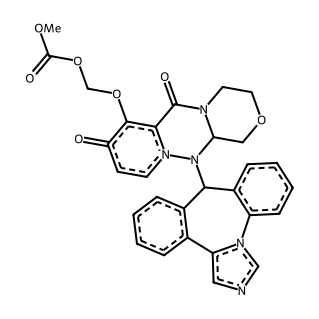 COC(=O)OCOc1c2n(ccc1=O)N(C1c3ccccc3-c3cncn3-c3ccccc31)C1COCCN1C2=O